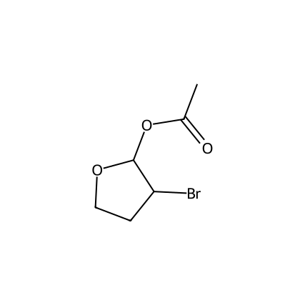 CC(=O)OC1OCCC1Br